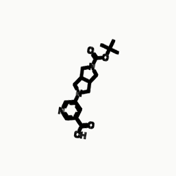 CC(C)(C)OC(=O)N1CC2CN(c3cncc(C(=O)O)c3)CC2C1